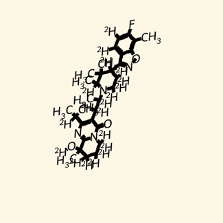 [2H]OC1(C)c2nc(C([2H])(C)C)c(C([2H])([2H])C([2H])(C)N3C([2H])([2H])C([2H])([2H])C([2H])(c4noc5c(C)c(F)c([2H])c([2H])c45)C(C)(C)C3([2H])C)c(=O)n2C([2H])([2H])C([2H])([2H])C1([2H])[2H]